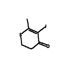 CC1=C(I)C(=O)CCS1